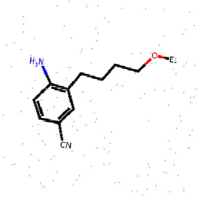 CCOCCCCc1cc(C#N)ccc1N